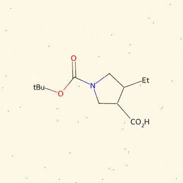 CCC1CN(C(=O)OC(C)(C)C)CC1C(=O)O